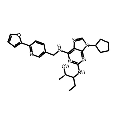 CCC(Nc1nc(NCc2ccc(-c3ccco3)nc2)c2ncn(C3CCCC3)c2n1)[C@@H](C)O